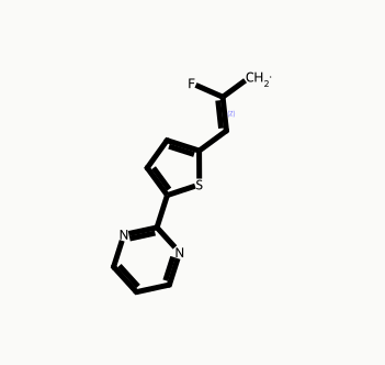 [CH2]/C(F)=C/c1ccc(-c2ncccn2)s1